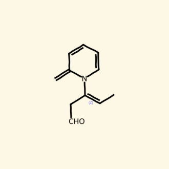 C=C1C=CC=CN1/C(=C\C)CC=O